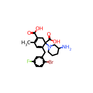 CC1=C(C(=O)O)CC(C(=O)O)(N2CCCC(N)C2)C(Cc2cc(F)ccc2Br)=C1